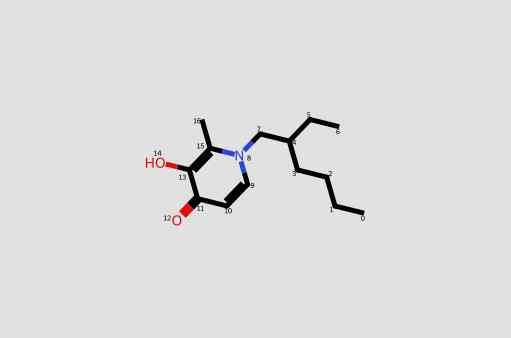 CCCCC(CC)Cn1ccc(=O)c(O)c1C